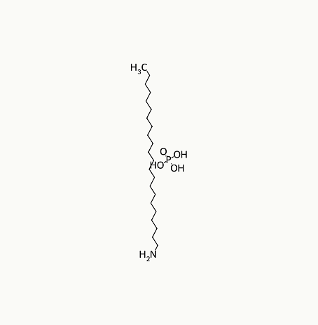 CCCCCCCCCCCCCCCCCCCCCCN.O=P(O)(O)O